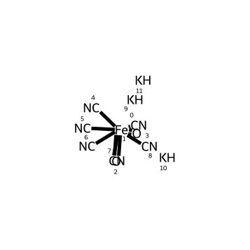 N#[C][Fe](=[O])(=[O])([C]#N)([C]#N)([C]#N)([C]#N)[C]#N.[KH].[KH].[KH]